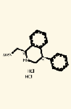 CNC[C@@H]1NC[C@H](c2ccccc2)c2ccccc21.Cl.Cl